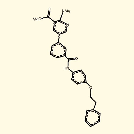 CNc1ncc(-c2cccc(C(=O)Nc3ccc(OCCc4ccccc4)cc3)c2)cc1C(=O)OC